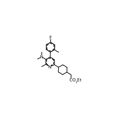 CCOC(=O)CC1CCC(c2cc(-c3ccc(F)cc3C)c(N(C)C)c(C)n2)CC1